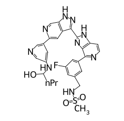 CCCC(O)Nc1cncc(-c2cc3c(-c4nc5c(-c6cc(F)cc(CNS(C)(=O)=O)c6)nccc5[nH]4)n[nH]c3cn2)c1